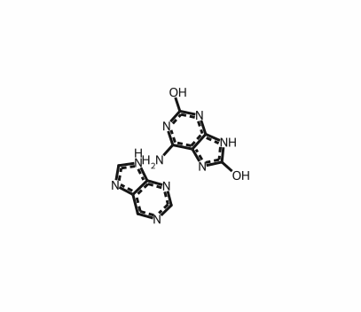 Nc1nc(O)nc2[nH]c(O)nc12.c1ncc2nc[nH]c2n1